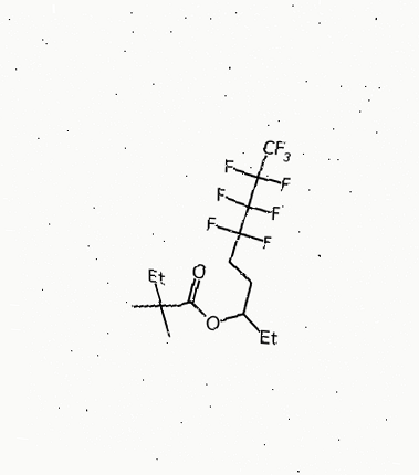 CCC(CCC(F)(F)C(F)(F)C(F)(F)C(F)(F)F)OC(=O)C(C)(C)CC